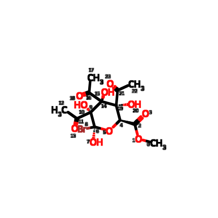 COC(=O)[C@H]1O[C@@](O)(Br)[C@@](O)(C(C)=O)[C@](O)(C(C)=O)[C@@]1(O)C(C)=O